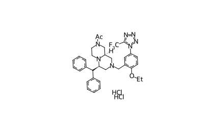 CCOc1ccc(-n2nnnc2C(F)(F)F)cc1CN1C[C@@H]2CN(C(C)=O)CCN2[C@H](C(c2ccccc2)c2ccccc2)C1.Cl.Cl